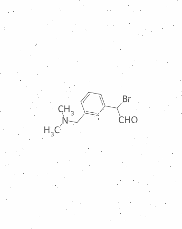 CN(C)Cc1cccc(C(Br)C=O)c1